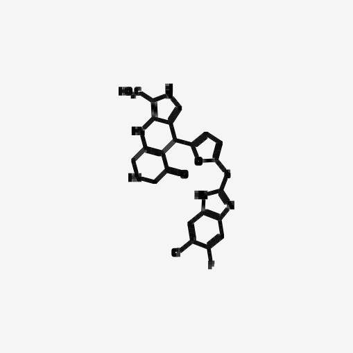 O=C1CNCC2=C1C(c1ccc(Sc3nc4cc(F)c(Cl)cc4[nH]3)o1)c1c[nH]c(C(=O)O)c1N2